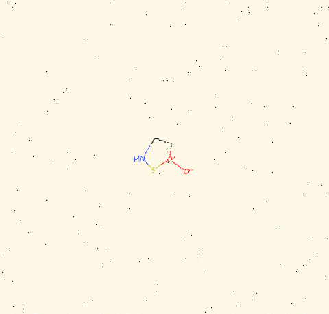 [O-][O+]1CCNS1